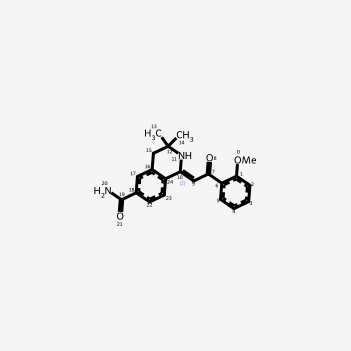 COc1ccccc1C(=O)/C=C1\NC(C)(C)Cc2cc(C(N)=O)ccc21